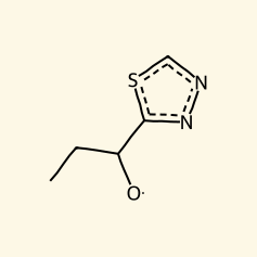 CCC([O])c1nncs1